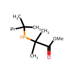 COC(=O)C(C)(C)PC(C)(C)C(C)C